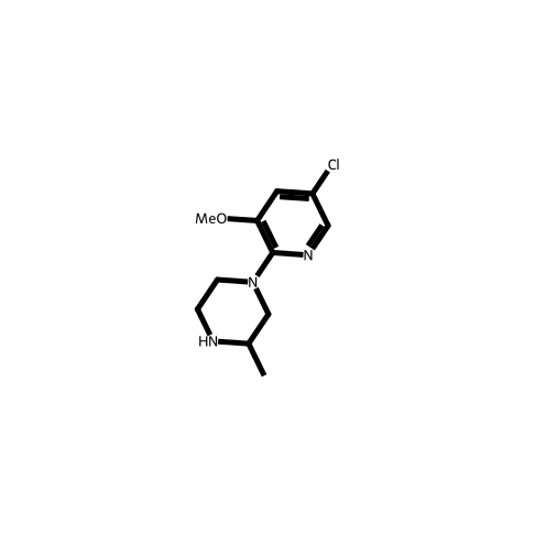 COc1cc(Cl)cnc1N1CCNC(C)C1